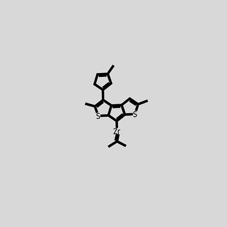 CC1=CCC(C2=C(C)SC3C2=c2cc(C)sc2=[C]3[Zr]=[C](C)C)=C1